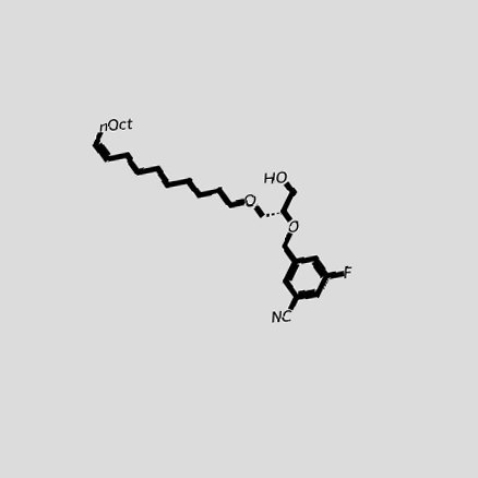 CCCCCCCC/C=C\CCCCCCCCOC[C@H](CO)OCc1cc(F)cc(C#N)c1